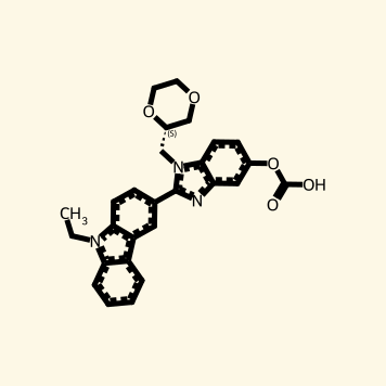 CCn1c2ccccc2c2cc(-c3nc4cc(OC(=O)O)ccc4n3C[C@H]3COCCO3)ccc21